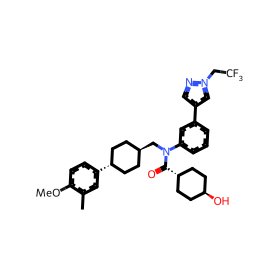 COc1ccc([C@H]2CC[C@H](CN(c3cccc(-c4cnn(CC(F)(F)F)c4)c3)C(=O)[C@H]3CC[C@H](O)CC3)CC2)cc1C